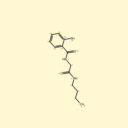 CCCCNC(=O)CNC(=O)c1ccccc1S